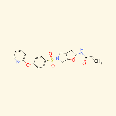 C=CC(=O)NC1CC2CN(S(=O)(=O)c3ccc(Oc4ccccn4)cc3)CC2O1